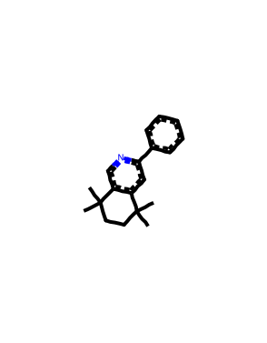 CC1(C)CCC(C)(C)c2cc(-c3ccccc3)ncc21